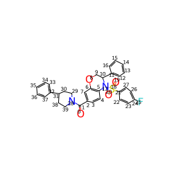 O=C(c1ccc2c(c1)OCC(c1ccccc1)N2S(=O)(=O)c1ccc(F)cc1)N1CCC(c2ccccc2)CC1